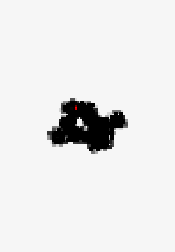 c1ccc(-c2ccc3c(c2)c2cc(-c4ccc5c(c4)oc4cccc(-c6nc(-c7ccccc7)nc(-c7ccc8c(c7)sc7ccccc78)n6)c45)ccc2n3-c2ccccc2)cc1